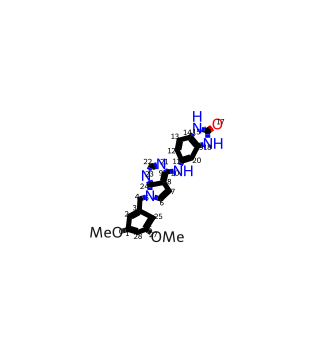 COc1cc(Cn2ccc3c(Nc4ccc5[nH]c(=O)[nH]c5c4)ncnc32)cc(OC)c1